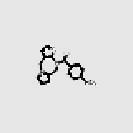 O=C(c1ccc([N+](=O)[O-])cc1)N1Cc2cccn2Cc2ccsc21